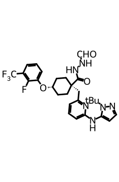 CC(C)(C)n1nccc1Nc1cccc(C[C@]2(C(=O)NNC=O)CC[C@H](Oc3cccc(C(F)(F)F)c3F)CC2)n1